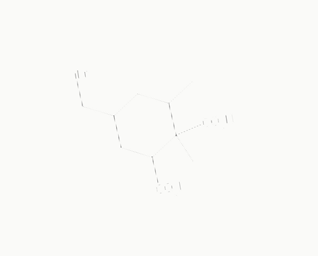 CC(C)CC1CC(C)C(C)(C(=O)O)C(C(=O)O)C1